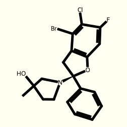 CC1(O)CCN([C@@]2(c3ccccc3)Cc3c(cc(F)c(Cl)c3Br)O2)C1